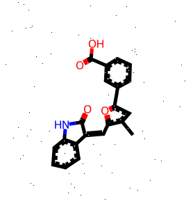 Cc1cc(-c2cccc(C(=O)O)c2)oc1C=C1C(=O)Nc2ccccc21